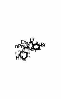 CCC[C@@H](c1nc2ccc(Br)cc2c(=O)n1CC)N1CCCN[C@H](C)C1